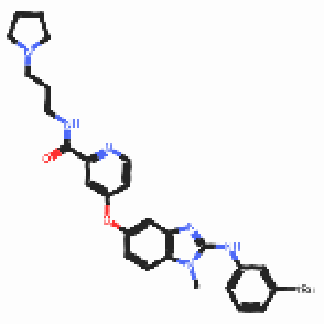 Cn1c(Nc2cccc(C(C)(C)C)c2)nc2cc(Oc3ccnc(C(=O)NCCCN4CCCC4)c3)ccc21